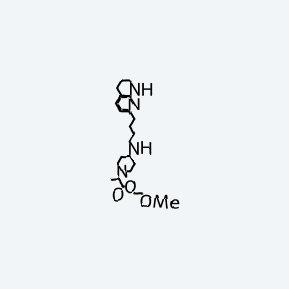 COCCOC(=O)C(C)N1CCC(NCCCCc2ccc3c(n2)NCCC3)CC1